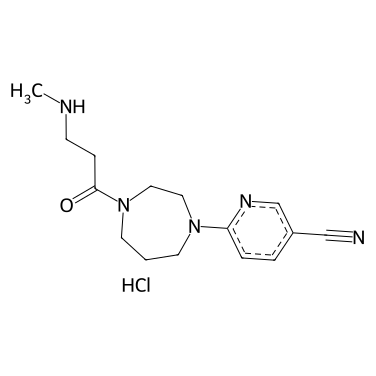 CNCCC(=O)N1CCCN(c2ccc(C#N)cn2)CC1.Cl